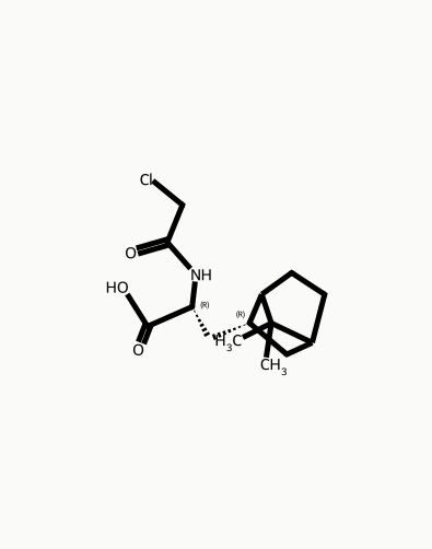 CC1(C)C2CCC1[C@@H](C[C@@H](NC(=O)CCl)C(=O)O)C2